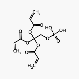 C=CC(=O)OC(COP(=O)(O)O)(OC(=O)C=C)OC(=O)C=C